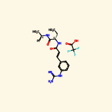 CC(C)[C@H](NC(=O)[C@H](CC(=O)O)NC(=O)C=Cc1cccc(NC(=N)N)c1)C(=O)O.O=C(O)C(F)(F)F